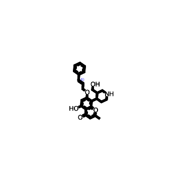 Cc1cc(=O)c2c(O)cc(OC/C=C/c3ccccc3)c(C3CCNCC3CO)c2o1